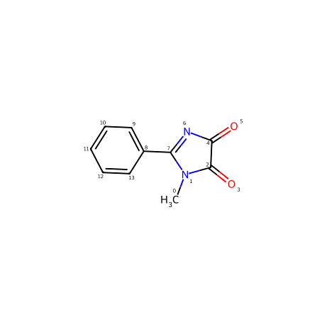 CN1C(=O)C(=O)N=C1c1ccccc1